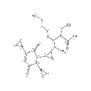 CCCCCC(CC)C(CS)C(=O)O.O=C1C=C(N2CC2)C(=O)C(N2CC2)=C1N1CC1